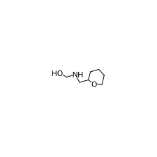 OCNCC1CCCCO1